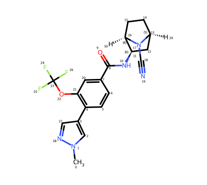 Cn1cc(-c2ccc(C(=O)N[C@@H]3C[C@@H]4CC[C@H]3N4C#N)cc2OC(F)(F)F)cn1